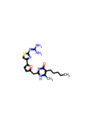 CCCCCc1c(C)[nH]c(Cc2ccc(-c3csc(N=C(N)N)n3)o2)nc1=O